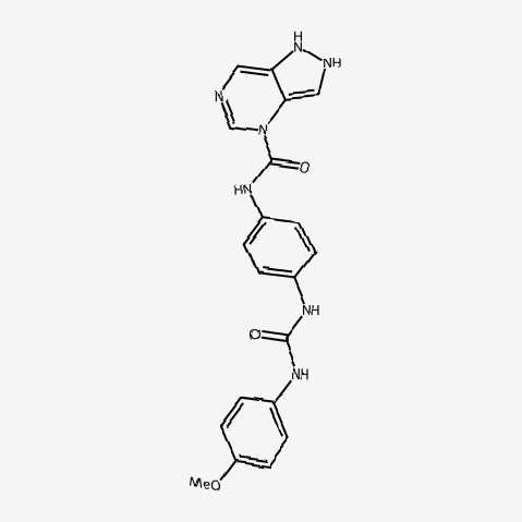 COc1ccc(NC(=O)Nc2ccc(NC(=O)N3C=NC=C4NNC=C43)cc2)cc1